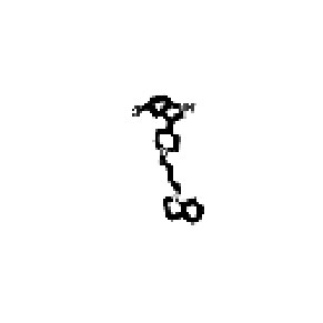 Clc1ccc2[nH]cc(C3CCN(CCCCN4CCCc5ccccc54)CC3)c2c1